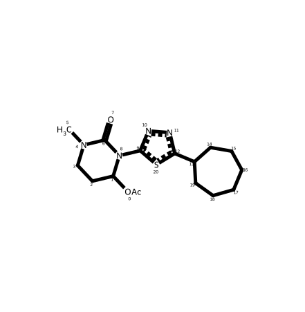 CC(=O)OC1CCN(C)C(=O)N1c1nnc(C2CCCCCC2)s1